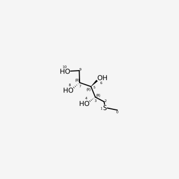 CSC[C@H](O)[C@H](O)[C@H](O)CO